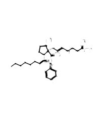 CCCCCCC=C(Sc1ccccc1)[C@H]1CCC(=O)[C@]1(CC=CCCCC(=O)OC)C(=O)OC